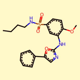 CCCCNS(=O)(=O)c1ccc(OC)c(Nc2ncc(-c3ccccc3)o2)c1